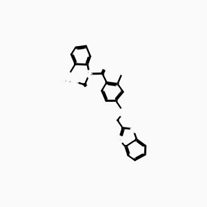 COC(=O)N(C(=O)c1ccc(OCc2nc3ccccc3s2)cc1C)c1ccccc1C